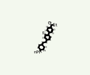 CCCC1CCC(CCc2ccc(-c3ccc(C(=O)CC)cc3)c(F)c2)CC1